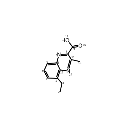 CCc1cccc2nc(C(=O)O)c(C)nc12